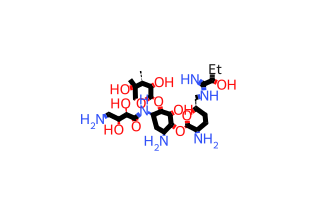 CCC(O)C(=N)NC[C@@H]1CCC(N)[C@@H](OC2C(O)C(O[C@H]3OCC(C)(O)[C@H](C)C3O)[C@H](NC(=O)[C@@H](O)[C@@H](O)CN)C[C@@H]2N)O1